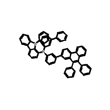 c1ccc(-c2cccc(N(c3cccc(-c4ccc5c(c4)c(-c4ccccc4)c(-c4ccccc4)c4ccccc45)c3)c3cccc4c5ccccc5n(-c5ccccc5)c34)c2)cc1